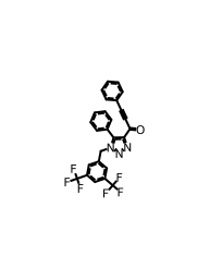 O=C(C#Cc1ccccc1)c1nnn(Cc2cc(C(F)(F)F)cc(C(F)(F)F)c2)c1-c1ccccc1